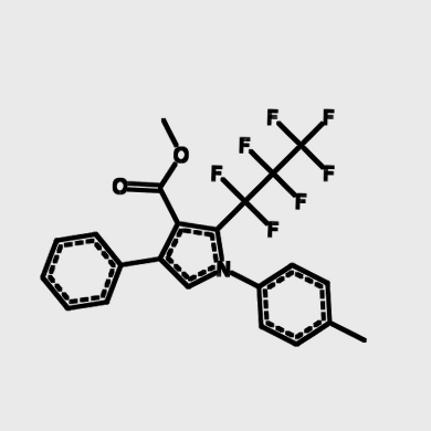 COC(=O)c1c(-c2ccccc2)cn(-c2ccc(C)cc2)c1C(F)(F)C(F)(F)C(F)(F)F